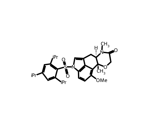 COc1ccc2c3c(cn2S(=O)(=O)c2c(C(C)C)cc(C(C)C)cc2C(C)C)C[C@H]2N(C)C(=O)CO[C@]2(C)c13